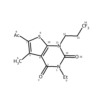 CCn1c(=O)c2c(C)c(C(C)=O)sc2n(CCC(F)(F)F)c1=O